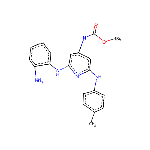 CC(C)(C)OC(=O)Nc1cc(Nc2ccc(C(F)(F)F)cc2)nc(Nc2ccccc2N)c1